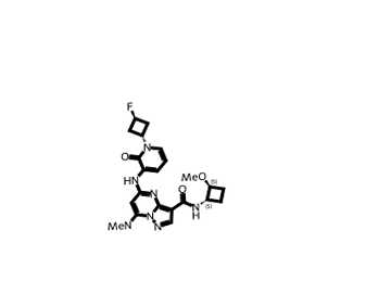 CNc1cc(Nc2cccn([C@H]3C[C@H](F)C3)c2=O)nc2c(C(=O)N[C@H]3CC[C@@H]3OC)cnn12